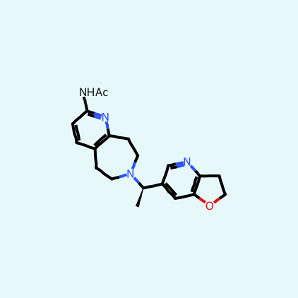 CC(=O)Nc1ccc2c(n1)CCN([C@H](C)c1cnc3c(c1)OCC3)CC2